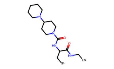 CC(C)CC(NC(=O)N1CCC(N2CCCCC2)CC1)C(=O)NCC#N